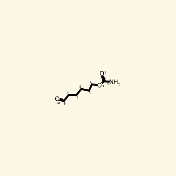 NC(=O)OCCCCCC=O